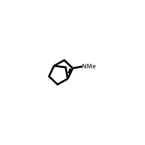 CNC1=C2CCC(C2)C1